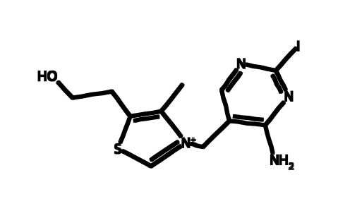 Cc1c(CCO)sc[n+]1Cc1cnc(I)nc1N